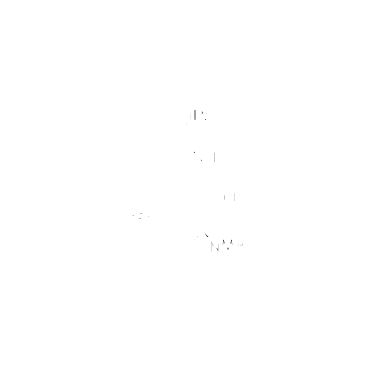 CN[C@@H](c1ccccc1)[C@@H](C)CNCC(C)C